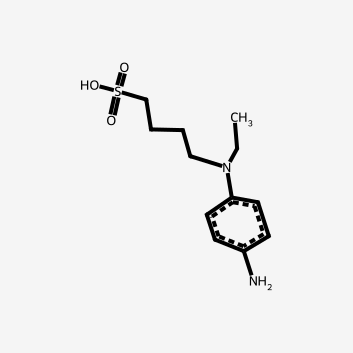 CCN(CCCCS(=O)(=O)O)c1ccc(N)cc1